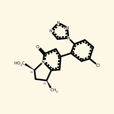 C[C@H]1C[C@@H](C(=O)O)n2c1cc(-c1cc(Cl)ccc1-n1cnnn1)cc2=O